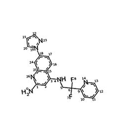 Nc1cc(NCC(F)(F)c2ccccn2)c2ccc(-n3cccn3)cc2n1